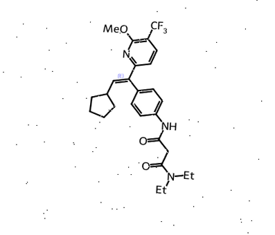 CCN(CC)C(=O)CC(=O)Nc1ccc(/C(=C\C2CCCC2)c2ccc(C(F)(F)F)c(OC)n2)cc1